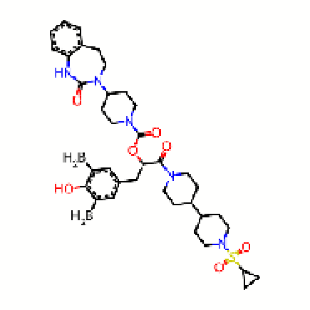 Bc1cc(C[C@@H](OC(=O)N2CCC(N3CCc4ccccc4NC3=O)CC2)C(=O)N2CCC(C3CCN(S(=O)(=O)C4CC4)CC3)CC2)cc(B)c1O